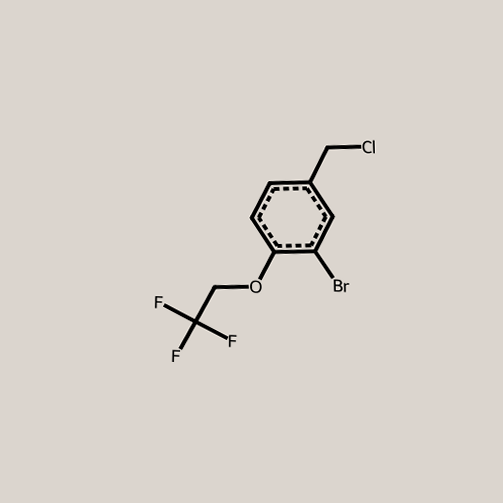 FC(F)(F)COc1ccc(CCl)cc1Br